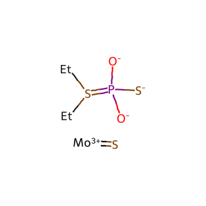 CCS(CC)=P([O-])([O-])[S-].[S]=[Mo+3]